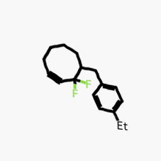 CCc1ccc(CC2CCCCC#CC2(F)F)cc1